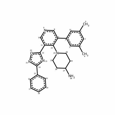 Cc1cc(C)cc(-c2cncc(-c3nc(-c4ccccc4)no3)c2N2CCC(N)CC2)c1